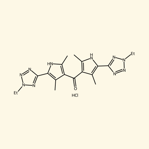 CCn1nnc(-c2[nH]c(C)c(C(=O)c3c(C)[nH]c(-c4nnn(CC)n4)c3C)c2C)n1.Cl